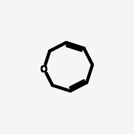 C1=CCOCC=CC1